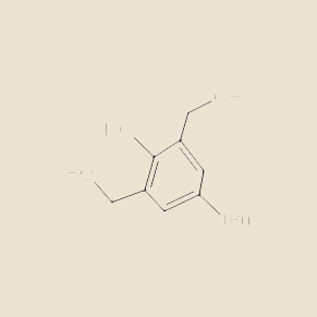 CC(C)(C)c1cc(CO)c(O)c(CO)c1